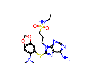 CCNS(=O)(=O)CCCn1c(Sc2cc3c(cc2N(C)C)OCO3)nc2c(N)ncnc21